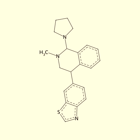 CN1CC(c2ccc3ncsc3c2)c2ccccc2C1N1CCCC1